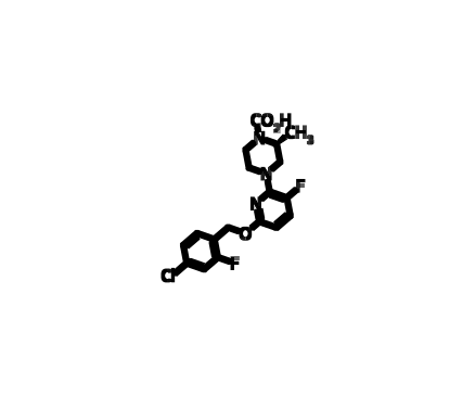 C[C@H]1CN(c2nc(OCc3ccc(Cl)cc3F)ccc2F)CCN1C(=O)O